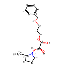 O=C(OCCCOCc1ccccc1)C(=O)ON1CCC[C@H]1C(=O)O